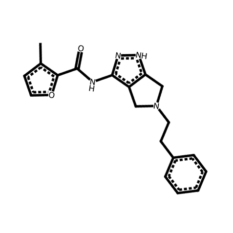 Cc1ccoc1C(=O)Nc1n[nH]c2c1CN(CCc1ccccc1)C2